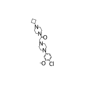 COc1cc(N2CCN(CC(=O)N3CCN(C4CCC4)CC3)CC2)ccc1Cl